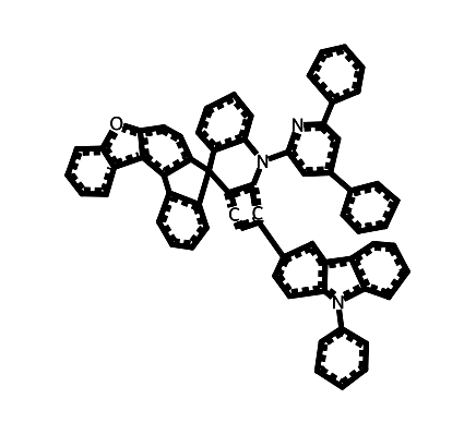 c1ccc(-c2cc(-c3ccccc3)nc(N3c4ccccc4C4(c5ccccc5-c5c4ccc4oc6ccccc6c54)c4ccc(-c5ccc6c(c5)c5ccccc5n6-c5ccccc5)cc43)c2)cc1